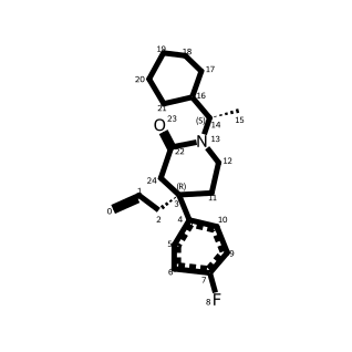 C=CC[C@@]1(c2ccc(F)cc2)CCN([C@@H](C)C2CCCCC2)C(=O)C1